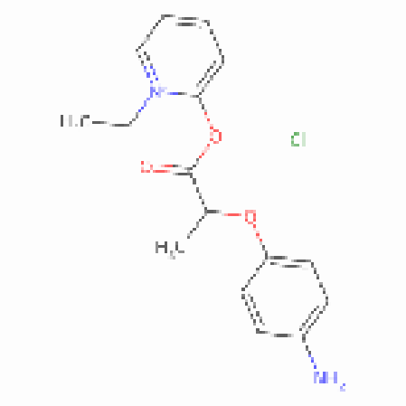 CC[n+]1ccccc1OC(=O)C(C)Oc1ccc(N)cc1.[Cl-]